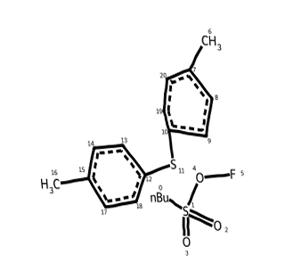 CCCCS(=O)(=O)OF.Cc1ccc(Sc2ccc(C)cc2)cc1